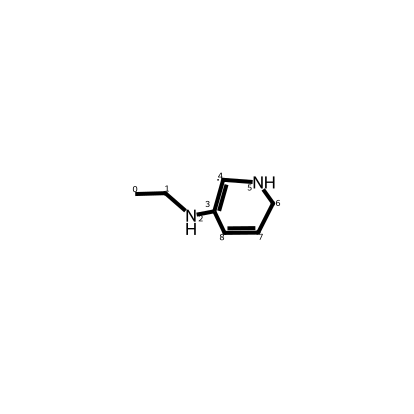 CCNC1=[C]NCC=C1